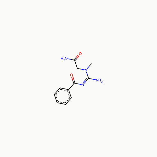 CN(CC(N)=O)C(N)=NC(=O)c1ccccc1